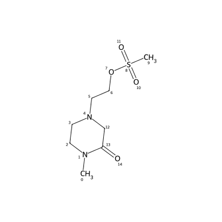 CN1CCN(CCOS(C)(=O)=O)CC1=O